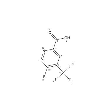 O=C(O)c1cc(C(F)(F)F)c(F)cn1